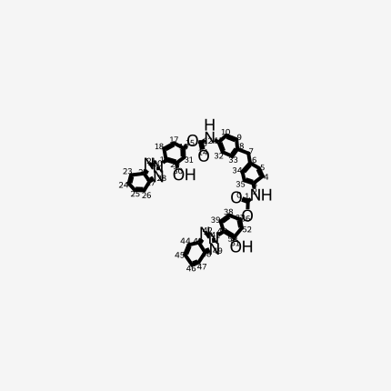 O=C(Nc1ccc(Cc2ccc(NC(=O)Oc3ccc(-n4nc5ccccc5n4)c(O)c3)cc2)cc1)Oc1ccc(-n2nc3ccccc3n2)c(O)c1